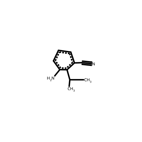 CC(C)c1c(N)cccc1C#N